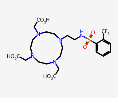 O=C(O)CN1CCN(CCNS(=O)(=O)c2ccccc2C(F)(F)F)CCN(CC(=O)O)CCN(CC(=O)O)CC1